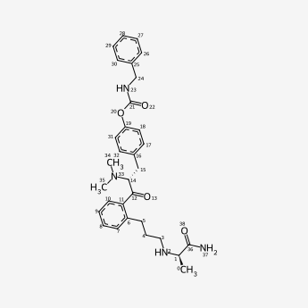 C[C@@H](NCCCc1ccccc1C(=O)[C@@H](Cc1ccc(OC(=O)NCc2ccccc2)cc1)N(C)C)C(N)=O